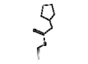 C=COC(=O)CC1CCCC1